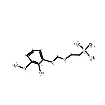 COc1cccc(OCOCC[Si](C)(C)C)c1O